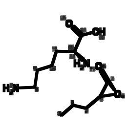 CCCC1OC1=O.NCCCC[C@H](N)C(=O)O